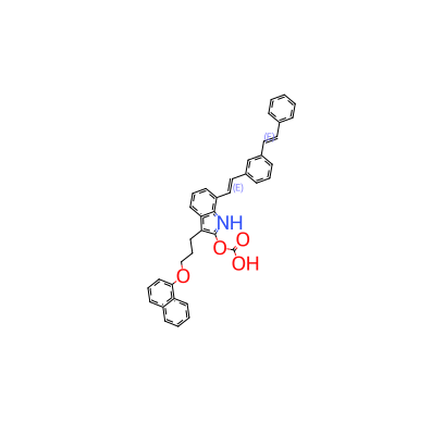 O=C(O)Oc1[nH]c2c(/C=C/c3cccc(/C=C/c4ccccc4)c3)cccc2c1CCCOc1cccc2ccccc12